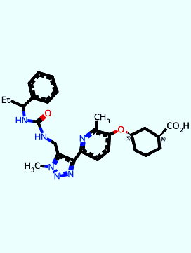 CCC(NC(=O)NCc1c(-c2ccc(O[C@H]3CCC[C@H](C(=O)O)C3)c(C)n2)nnn1C)c1ccccc1